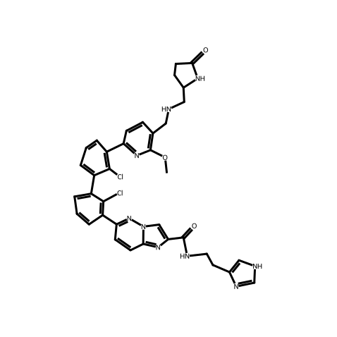 COc1nc(-c2cccc(-c3cccc(-c4ccc5nc(C(=O)NCCc6c[nH]cn6)cn5n4)c3Cl)c2Cl)ccc1CNCC1CCC(=O)N1